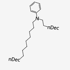 CCCCCCCCCCCCCCCCCCN(CCCCCCCCCCCC)c1ccccc1